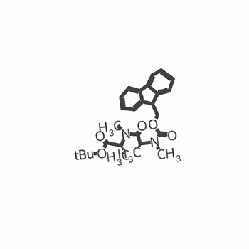 C[C@@H](C(=O)N(C)[C@@H](C)C(=O)OC(C)(C)C)N(C)C(=O)OCC1c2ccccc2-c2ccccc21